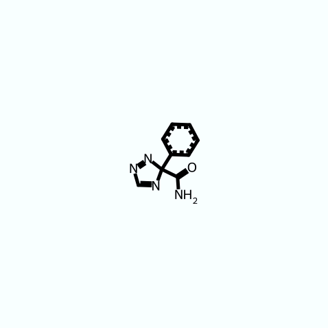 NC(=O)C1(c2ccccc2)N=CN=N1